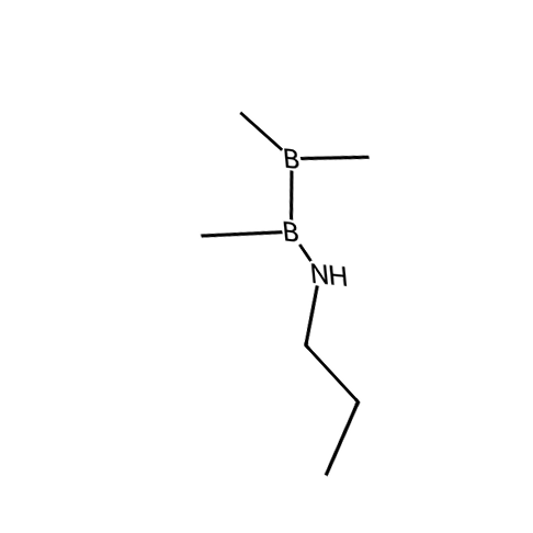 CCCNB(C)B(C)C